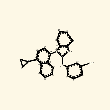 Clc1cccc(Sc2nc3ccccc3n2-c2ccc(C3CC3)c3ccccc23)c1